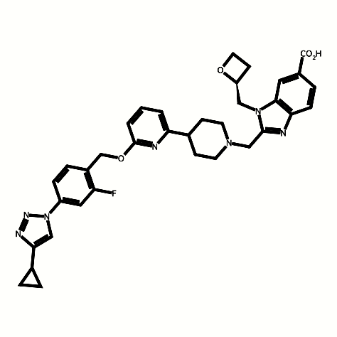 O=C(O)c1ccc2nc(CN3CCC(c4cccc(OCc5ccc(-n6cc(C7CC7)nn6)cc5F)n4)CC3)n(C[C@@H]3CCO3)c2c1